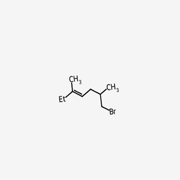 CC/C(C)=C/CC(C)CBr